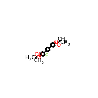 C=C(C)C(=O)Oc1ccc(-c2ccc(-c3ccc(OC(O)C(=C)C)cc3F)cc2)cc1